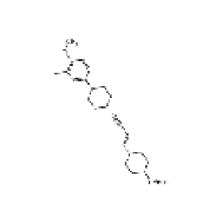 CCCCC[C@H]1CC[C@H](C=CC#C[C@H]2CC[C@H](c3ccc(OC(F)(F)F)c(F)c3)CC2)CC1